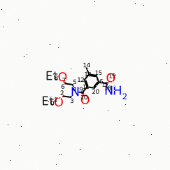 CCOCCN(CCOCC)C(=O)c1cc(C)cc(C(N)=O)c1